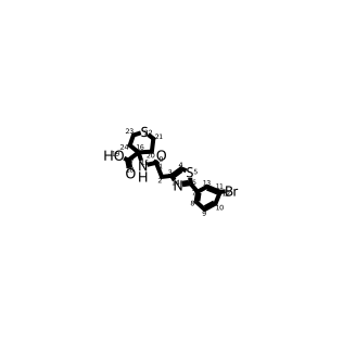 O=C(Cc1csc(-c2cccc(Br)c2)n1)NC1(C(=O)O)CCSCC1